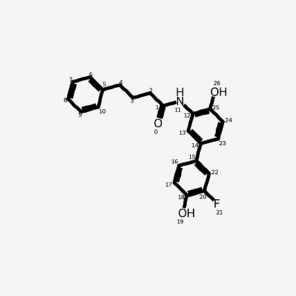 O=C(CCCc1ccccc1)Nc1cc(-c2ccc(O)c(F)c2)ccc1O